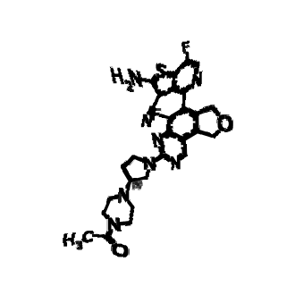 CC(=O)N1CCN([C@H]2CCN(c3ncc4c5c(c(-c6ncc(F)c7sc(N)c(C#N)c67)c(F)c4n3)COC5)C2)CC1